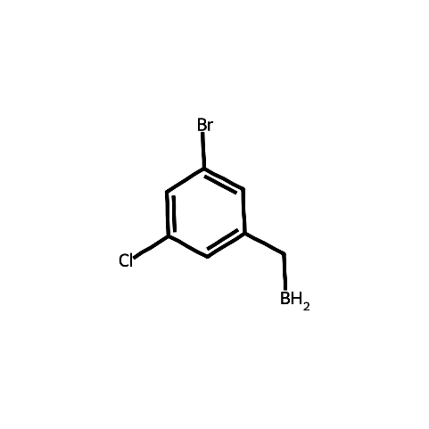 BCc1cc(Cl)cc(Br)c1